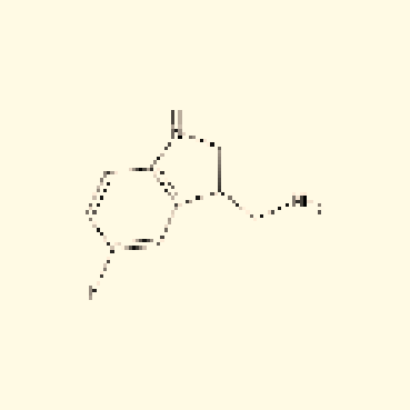 NCc1c[nH]c2ccc(F)cc12